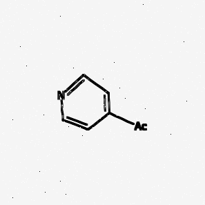 C[13C](=[17O])c1ccncc1